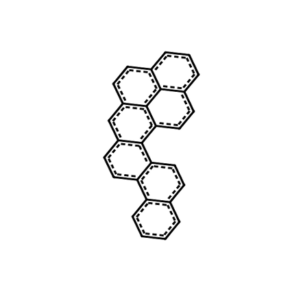 c1ccc2c(c1)ccc1c2ccc2cc3ccc4cccc5ccc(c21)c3c45